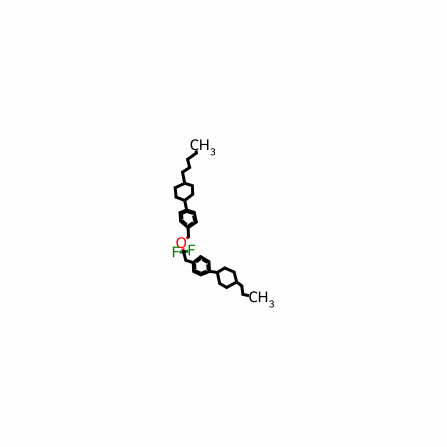 CCCCCC1CCC(c2ccc(COC(F)(F)Cc3ccc(C4CCC(CCC)CC4)cc3)cc2)CC1